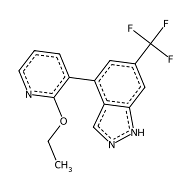 CCOc1ncccc1-c1cc(C(F)(F)F)cc2[nH]ncc12